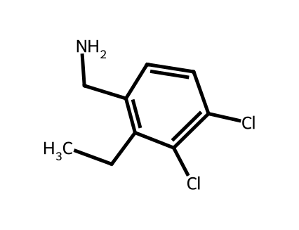 CCc1c(CN)ccc(Cl)c1Cl